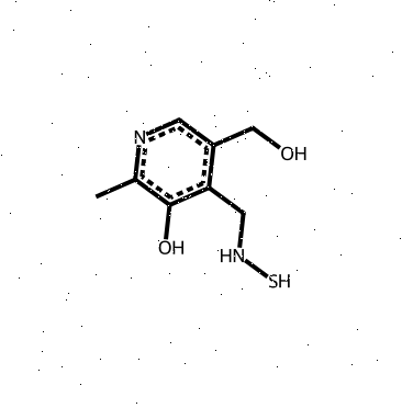 Cc1ncc(CO)c(CNS)c1O